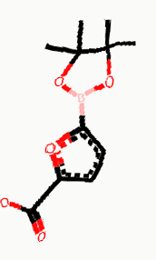 CC1(C)OB(c2ccc(C(=O)O)o2)OC1(C)C